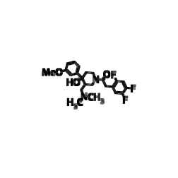 COc1cccc([C@]2(O)CCN(C(=O)Cc3cc(F)c(F)cc3F)CC2CN(C)C)c1